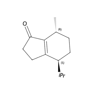 CC(C)[C@@H]1CC[C@@H](C)C2=C1CCC2=O